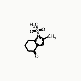 Cc1cc2c(n1S(C)(=O)=O)CCCC2=O